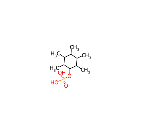 CC1C(C)C(C)C(OP(=O)(O)O)C(C)C1C